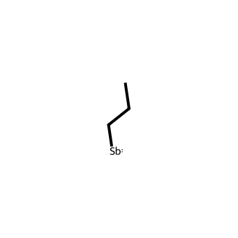 CC[CH2][Sb]